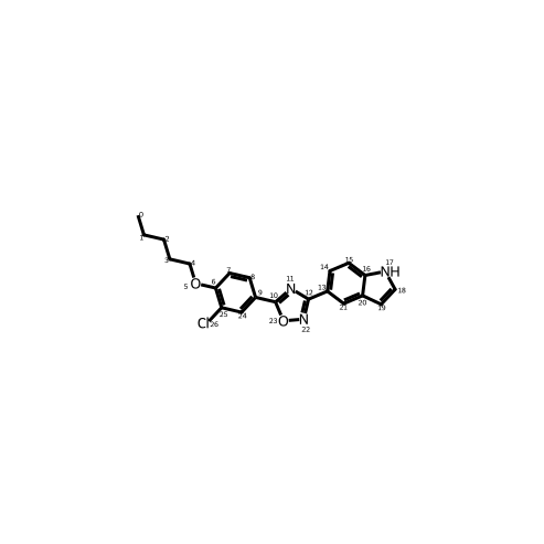 CCCCCOc1ccc(-c2nc(-c3ccc4[nH]ccc4c3)no2)cc1Cl